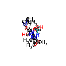 CCN(CCOc1ccc2nc(Nc3nc(C)c4cc(OC)c(OC)cc4n3)nc(O)c2c1)CCN(C)C.O=C(O)C(F)(F)F